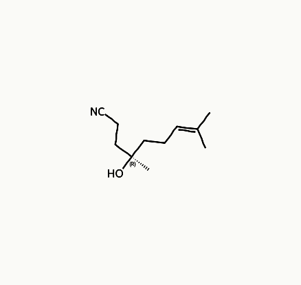 CC(C)=CCC[C@@](C)(O)CCC#N